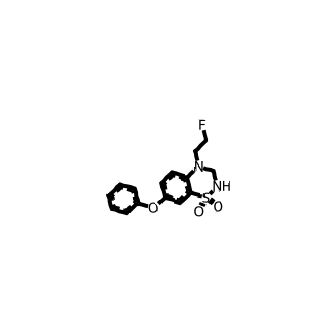 O=S1(=O)NCN(CCF)c2ccc(Oc3ccccc3)cc21